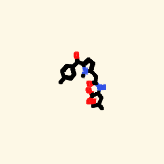 Cc1ccc(C(=O)c2ccc(CC(=O)NC(CC(C)C)C(=O)O)n2C)cc1